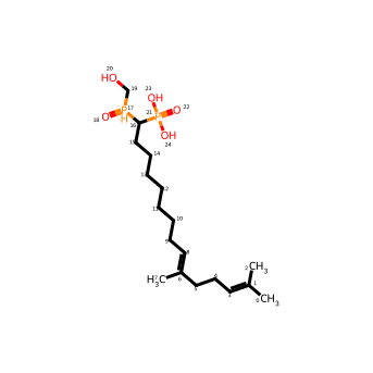 CC(C)=CCCC(C)=CCCCCCCCC([PH](=O)CO)P(=O)(O)O